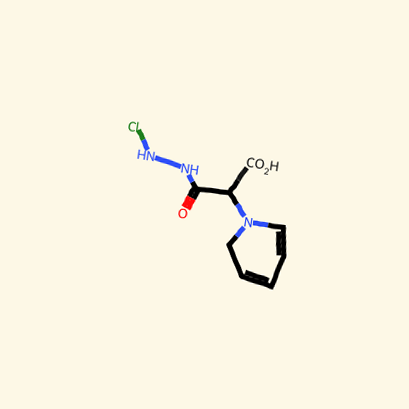 O=C(O)C(C(=O)NNCl)N1C=CC=CC1